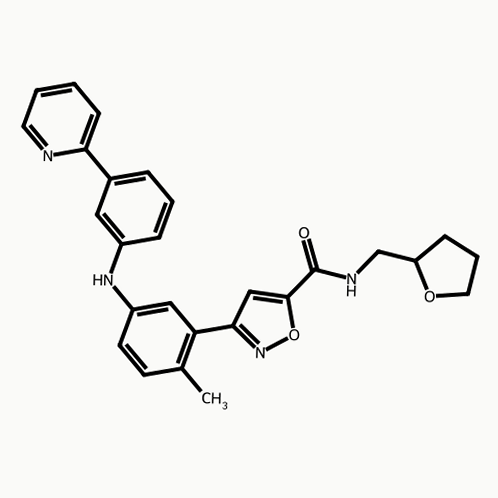 Cc1ccc(Nc2cccc(-c3ccccn3)c2)cc1-c1cc(C(=O)NCC2CCCO2)on1